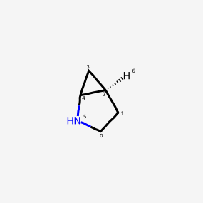 C1C[C@@H]2CC2N1